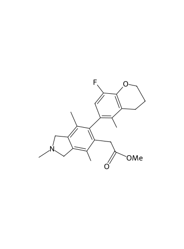 COC(=O)Cc1c(C)c2c(c(C)c1-c1cc(F)c3c(c1C)CCCO3)CN(C)C2